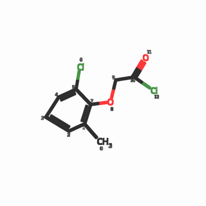 Cc1cccc(Cl)c1OCC(=O)Cl